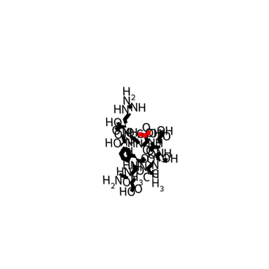 CC(C)[C@H](NC(=O)[C@H](Cc1ccccc1)NC(=O)[C@H](CCC(=O)O)NC(=O)CN)C(=O)N[C@@H](CO)C(=O)N[C@@H](CCC(=O)O)C(=O)N[C@H](C(=O)N[C@@H](CCC(=O)O)C(=O)N[C@@H](CO)C(=O)N[C@@H](CCCNC(=N)N)C(=O)O)[C@@H](C)O